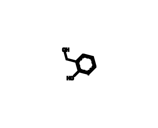 OCc1ccc[c]c1O